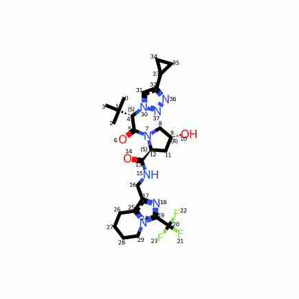 CC(C)(C)[C@@H](C(=O)N1C[C@H](O)C[C@H]1C(=O)NCc1nc(C(F)(F)F)n2c1CCCC2)n1cc(C2CC2)nn1